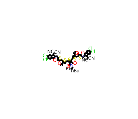 CCCCC(CC)CN1C(=O)c2c(-c3cc4c(s3)-c3sc(/C=C5\C(=O)c6cc(Cl)c(Cl)cc6C5=C(C#N)C#N)cc3OC4(C)C)sc(-c3cc4c(s3)-c3sc(/C=C5\C(=O)c6cc(Cl)c(Cl)cc6C5=C(C#N)C#N)cc3OC4(C)C)c2C1=O